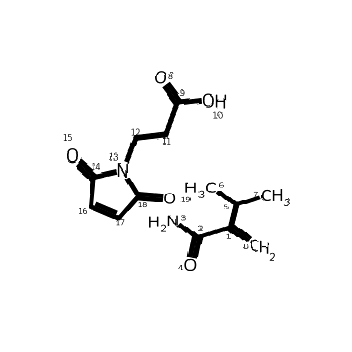 C=C(C(N)=O)C(C)C.O=C(O)CCN1C(=O)C=CC1=O